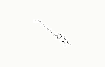 CCCCCCCCCCOc1ccc(C=C2OC(=O)NC2=O)cc1